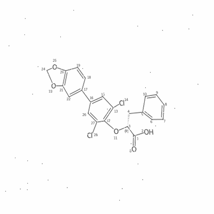 O=C(O)[C@@H](Cc1ccccc1)Oc1c(Cl)cc(-c2ccc3c(c2)OCO3)cc1Cl